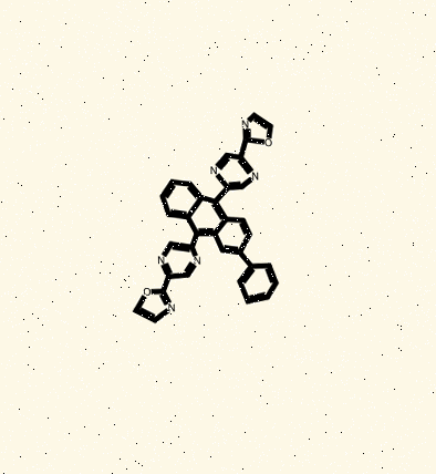 c1ccc(-c2ccc3c(-c4cnc(-c5ncco5)cn4)c4ccccc4c(-c4cnc(-c5ncco5)cn4)c3c2)cc1